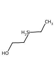 CC[SiH2]CCO